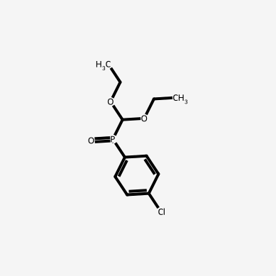 CCOC(OCC)[P](=O)c1ccc(Cl)cc1